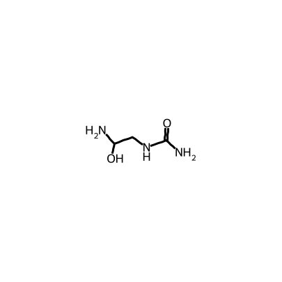 NC(=O)NCC(N)O